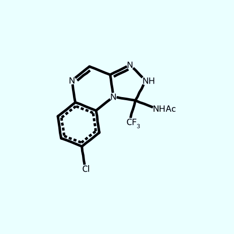 CC(=O)NC1(C(F)(F)F)NN=C2C=Nc3ccc(Cl)cc3N21